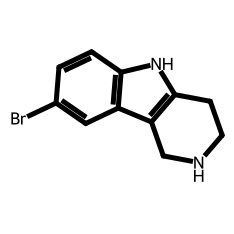 Brc1ccc2[nH]c3c(c2c1)CNCC3